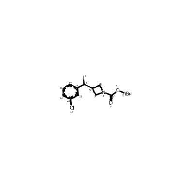 CC(C)(C)OC(=O)N1CC(C(I)c2cccc(Cl)c2)C1